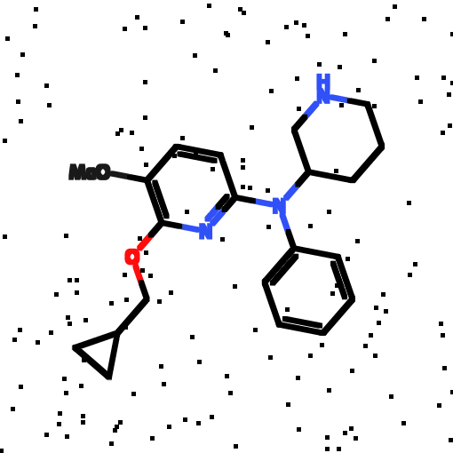 COc1ccc(N(c2ccccc2)C2CCCNC2)nc1OCC1CC1